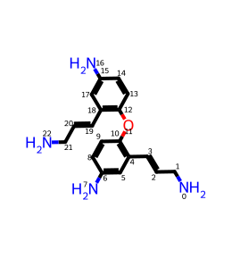 NCC=Cc1cc(N)ccc1Oc1ccc(N)cc1C=CCN